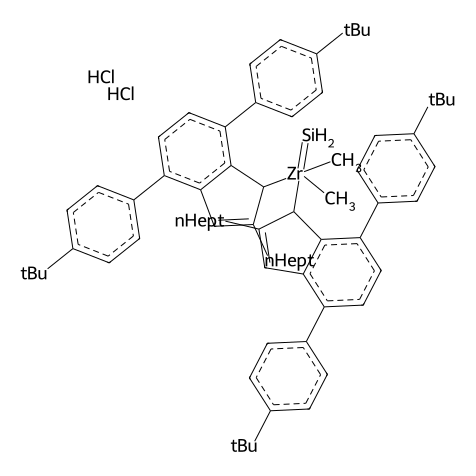 CCCCCCCC1=Cc2c(-c3ccc(C(C)(C)C)cc3)ccc(-c3ccc(C(C)(C)C)cc3)c2[CH]1[Zr]([CH3])([CH3])(=[SiH2])[CH]1C(CCCCCCC)=Cc2c(-c3ccc(C(C)(C)C)cc3)ccc(-c3ccc(C(C)(C)C)cc3)c21.Cl.Cl